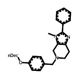 CCCCCCCCCCOc1ccc(CN2CCc3nc(-c4ccccc4)n(C)c3C2)cc1